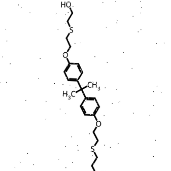 CC(C)(c1ccc(OCCSCCO)cc1)c1ccc(OCCSCCO)cc1